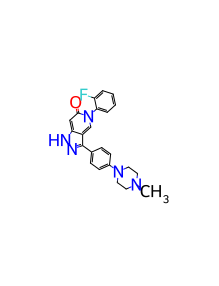 CN1CCN(c2ccc(-c3n[nH]c4cc(=O)n(-c5ccccc5F)cc34)cc2)CC1